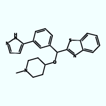 CN1CCC(OC(c2cccc(-c3ccn[nH]3)c2)c2nc3ccccc3s2)CC1